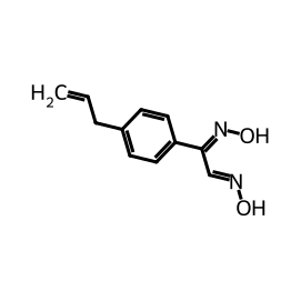 C=CCc1ccc(C(C=NO)=NO)cc1